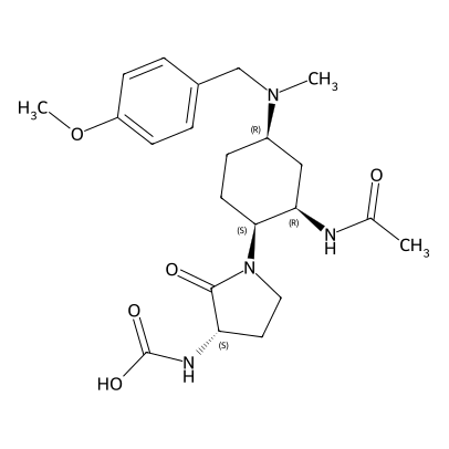 COc1ccc(CN(C)[C@@H]2CC[C@H](N3CC[C@H](NC(=O)O)C3=O)[C@H](NC(C)=O)C2)cc1